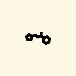 C[C](CCC1CCCC1)C1CCCCC1